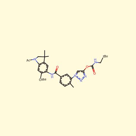 COc1cc2c(cc1NC(=O)c1ccc(C)c(-n3cc(OC(=O)NCC(C)(C)C)nn3)c1)C(C)(C)CN2C(C)=O